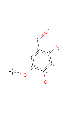 COc1cc(C=O)c(O)cc1O